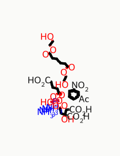 CC(=O)c1cccc([N+](=O)[O-])c1.N.N.N.N.O=C(CCCCC(=O)OCCO)OCCO.O=C(O)CCCC(=O)OP(=O)(O)OC(=O)CC(O)(CC(=O)O)C(=O)O